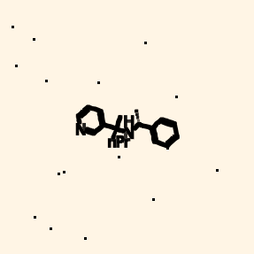 CCC[C@@](C)(N[C@H](C)c1ccccc1)c1cccnc1